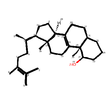 CC(C)=C(C)CC[C@@H](C)[C@H]1CC[C@H]2C3=C(CC[C@]12C)[C@@]1(C)C(O)CCCC1CC3